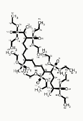 CCOP(C)(=O)C(CCCC(C(C)P(=O)(OCC)OCC)P(=O)(OCC)OCC)CCCC(C(CCC(C)P(=O)(OCC)OCC)P(=O)(OCC)OCC)P(=O)(OCC)OCC